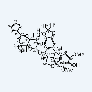 [2H]C1([2H])Oc2cc3c(cc2O1)[C@@]([2H])(c1cc(OC)c(O)c(OC)c1)[C@H]1C(=O)OC[C@@H]1[C@@H]3O[C@@H]1O[C@H]2[C@@H](O[C@H](c3cccs3)OC2([2H])[2H])[C@H](O)[C@H]1O